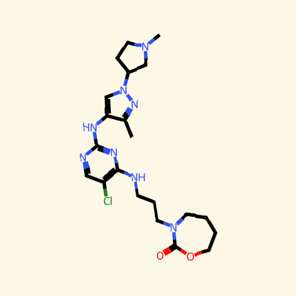 Cc1nn(C2CCN(C)C2)cc1Nc1ncc(Cl)c(NCCCN2CCCCOC2=O)n1